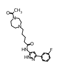 CC(=O)N1CCCN(CCCCC(=O)Nc2cc(-c3cccc(F)c3)n[nH]2)CC1